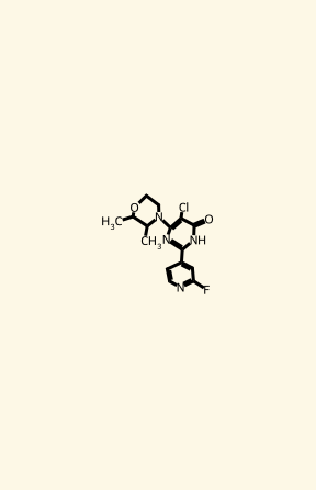 CC1OCCN(c2nc(-c3ccnc(F)c3)[nH]c(=O)c2Cl)C1C